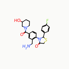 NCc1cc(C(=O)N2CCCC(O)C2)ccc1N1C(=O)CSC1c1ccc(F)cc1